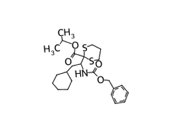 CC(C)OC(=O)C1(C(CC2CCCCC2)NC(=O)OCc2ccccc2)SCCCS1